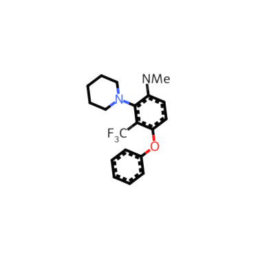 CNc1ccc(Oc2ccccc2)c(C(F)(F)F)c1N1CCCCC1